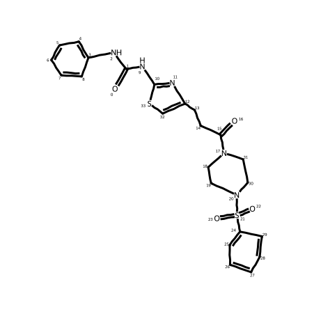 O=C(Nc1ccccc1)Nc1nc(CCC(=O)N2CCN(S(=O)(=O)c3ccccc3)CC2)cs1